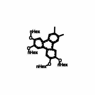 CCCCCCOc1cc2c3cc(C)c(C)cc3c3cc(OCCCCCC)c(OCCCCCC)cc3c2cc1OCCCCCC